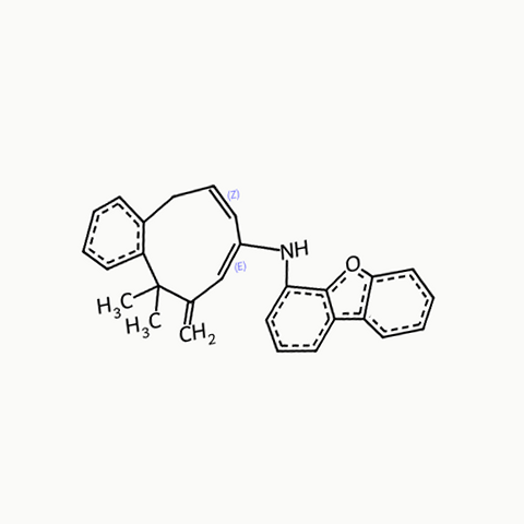 C=C1/C=C(Nc2cccc3c2oc2ccccc23)\C=C/Cc2ccccc2C1(C)C